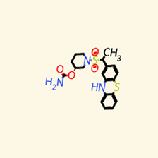 CC(c1ccc2c(c1)Nc1ccccc1S2)S(=O)(=O)N1CCC[C@@H](OC(N)=O)C1